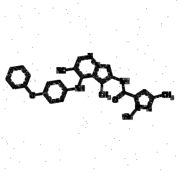 Cc1cc(C(=O)Nc2cn3ncc(C#N)c(Nc4ccc(Oc5ccccc5)cc4)c3c2C)n(C(C)(C)C)n1